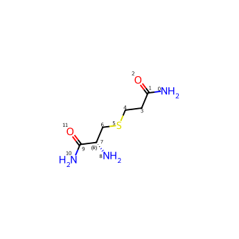 NC(=O)CCSC[C@H](N)C(N)=O